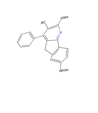 COc1nc2c(c(-c3ccccc3)c1C#N)Cc1cc(NC(C)=O)ccc1-2